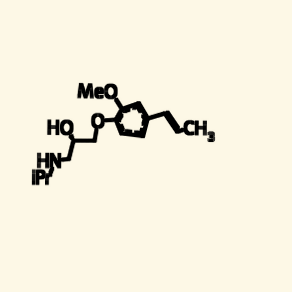 CC=Cc1ccc(OC[C@H](O)CNC(C)C)c(OC)c1